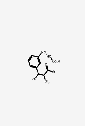 CCC(=O)C(C)C(C(C)=O)c1cccc([N+](=O)[O-])c1.O=C(O)O